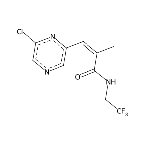 CC(=Cc1cncc(Cl)n1)C(=O)NCC(F)(F)F